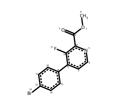 COC(=O)c1nccc(-c2ccc(Br)cc2)c1F